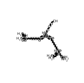 C#CCOCCOCCOCCNc1nc(N2CCN(C(=O)CCCCCCCCCCNC(=O)[C@H](CCCN=C(N)N)n3cc(C[C@@H](C)CC)nn3)CC2)nc(N2CCN(C(=O)CCCCCCCCCCNC(=O)[C@@H]([C@H](C)O)n3cc(C)nn3)CC2)n1